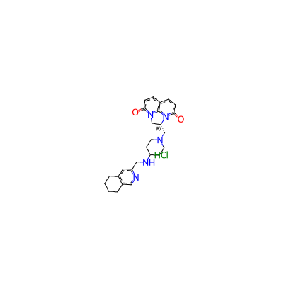 Cl.O=c1ccc2ccc(=O)n3c2n1C[C@H]3CN1CCC(NCc2cc3c(cn2)CCCC3)CC1